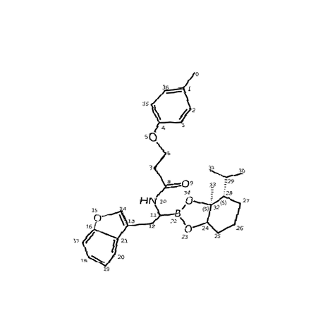 Cc1ccc(OCCC(=O)NC(Cc2coc3ccccc23)B2OC3CCC[C@@H](C(C)C)[C@]3(C)O2)cc1